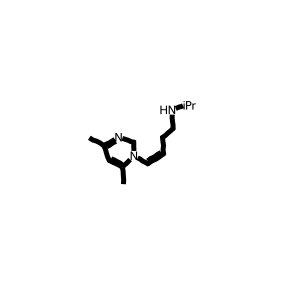 CC1=CC(C)=NCN1/C=C\CCNC(C)C